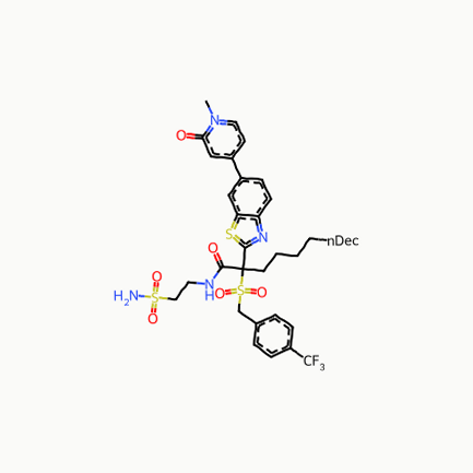 CCCCCCCCCCCCCCC(C(=O)NCCS(N)(=O)=O)(c1nc2ccc(-c3ccn(C)c(=O)c3)cc2s1)S(=O)(=O)Cc1ccc(C(F)(F)F)cc1